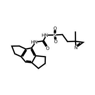 CC1(CCS(=O)(=O)NC(=O)Nc2c3c(cc4c2CCC4)CCC3)C=N1